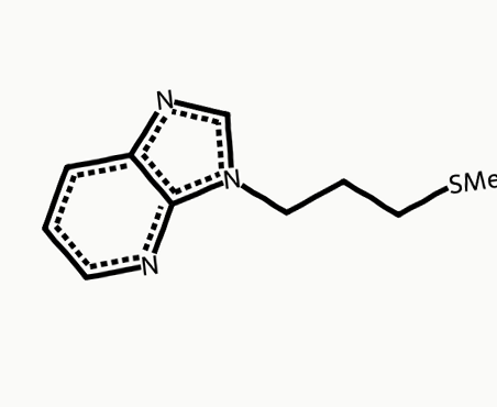 CSCCCn1cnc2cccnc21